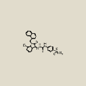 NS(=O)(=O)c1ccc(NC(=S)NN=C2C(=O)N(Cc3cccc4ccccc34)c3c(Cl)cccc32)cc1